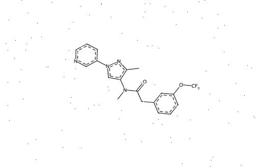 Cc1nn(-c2cccnc2)cc1N(C)C(=O)Cc1cccc(OC(F)(F)F)c1